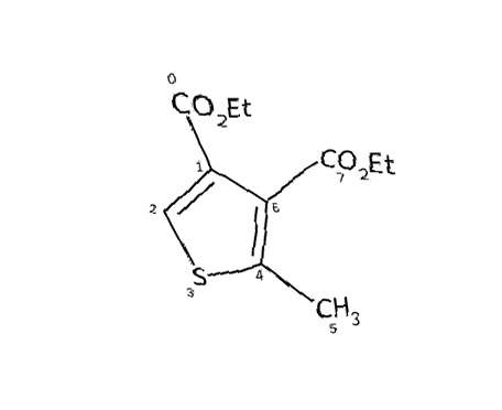 CCOC(=O)c1csc(C)c1C(=O)OCC